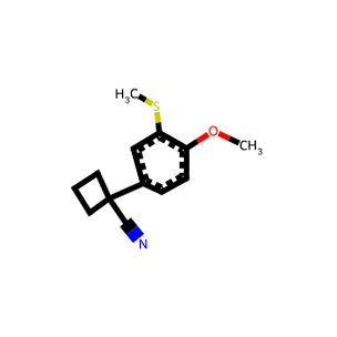 COc1ccc(C2(C#N)CCC2)cc1SC